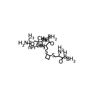 BBC(=O)C(N)CSC1CCC1SCC(NC(=O)C(C)(C)COC(C)(N)CCC)C(=O)BB